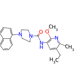 CCc1cc(NC(=O)N2CCN(c3cccc4ccccc34)CC2)c(OC)nc1C